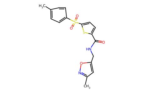 Cc1ccc(S(=O)(=O)c2ccc(C(=O)NCc3cc(C)no3)s2)cc1